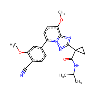 COc1cc(-c2ccc(OC)c3nc(C4(C(=O)NC(C)C)CC4)nn23)ccc1C#N